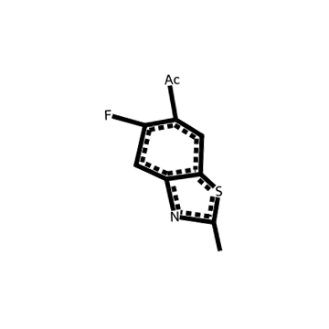 CC(=O)c1cc2sc(C)nc2cc1F